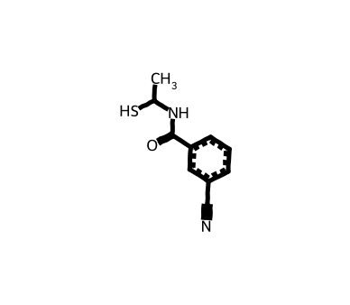 CC(S)NC(=O)c1cccc(C#N)c1